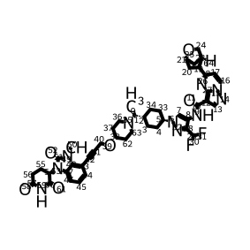 CC([C@H]1CC[C@H](n2cc(NC(=O)c3cnn4ccc(C5CC6C[C@@H]5CO6)nc34)c(C(F)F)n2)CC1)N1CCC(OCC#Cc2cccc3c2n(C)c(=O)n3C2CCC(=O)NC2=O)CC1